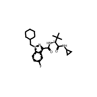 CC(C)(C)[C@H](NC(=O)c1nn(CC2CCCCC2)c2ccc(F)cc12)C(=O)NC1CC1